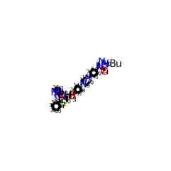 CCC(C)n1ncn(-c2ccc(N3CCN(c4ccc(OC[C@@H]5CS[C@@](Cn6nccn6)(c6ccccc6)N5C)cc4)CC3)cc2)c1=O